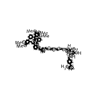 COc1ccc(CCC(OC(=O)C2CCCCN2C(=O)[C@H](c2cc(OC)c(OC)c(OC)c2)C2CCCCC2)c2cccc(OCc3cn(CCOCCOCCOCCOCC(=O)N[C@H](C(=O)N4C[C@H](O)C[C@H]4C(=O)NCc4ccc(-c5scnc5C)cc4)C(C)(C)C)nn3)c2)cc1OC